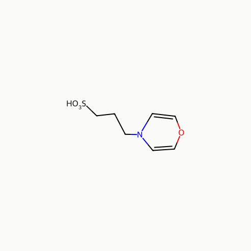 O=S(=O)(O)CCCN1C=COC=C1